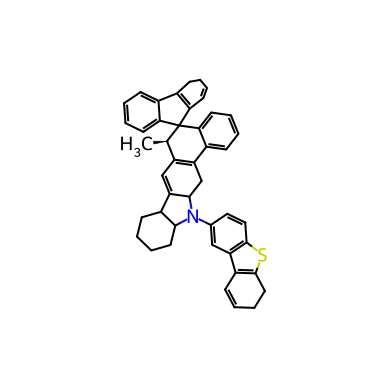 C[C@@H]1C2=C(CC3C(=C2)C2CCCCC2N3c2ccc3sc4c(c3c2)C=CCC4)c2ccccc2C12C1=C(CCC=C1)c1ccccc12